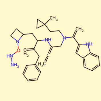 C=C=C(CN(CCC1(C)CC1)C(=C)c1cc2ccccc2[nH]1)NC(CC1CCN1ONN)C(=C)Cc1ccccc1